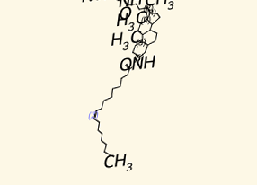 CCCCCCCC/C=C\CCCCCCCC(=O)N[C@H]1CC[C@@]2(C)C(CCC3C2CC[C@@]2(C)C3CC[C@@H]2[C@H](C)CCC(=O)NCCCN=[N+]=[N-])C1